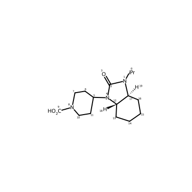 CC(C)N1C(=O)N(C2CCN(C(=O)O)CC2)[C@H]2CCCC[C@@H]21